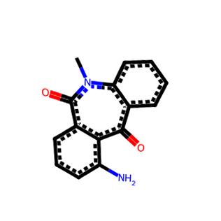 Cn1c(=O)c2cccc(N)c2c(=O)c2ccccc21